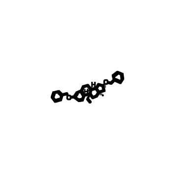 CC[C@]12CC[C@]3(C)C[C@H](OCc4ccccc4)C[C@H]3[C@@H]1CCc1cc(OCc3ccccc3)ccc12